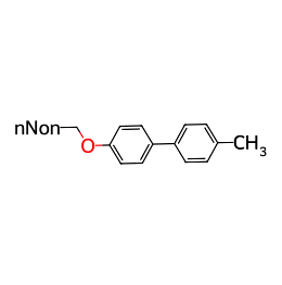 CCCCCCCCCCOc1ccc(-c2ccc(C)cc2)cc1